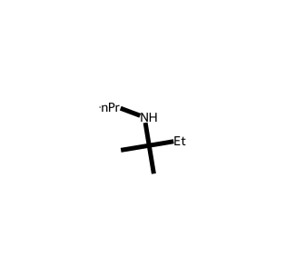 CC[CH]NC(C)(C)CC